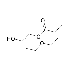 CCC(=O)OCCO.CCOCC